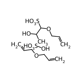 C=CCOC(C(C)O)S(=O)(=O)O.C=CCOCC=C.O=S(=O)(O)O